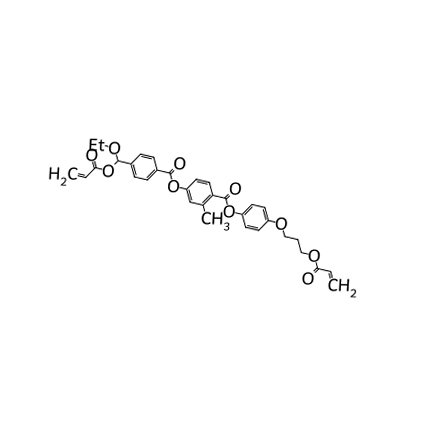 C=CC(=O)OCCCOc1ccc(OC(=O)c2ccc(OC(=O)c3ccc(C(OCC)OC(=O)C=C)cc3)cc2C)cc1